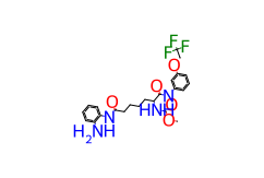 COC(=O)NC(CCCCC(=O)Nc1ccccc1N)C(=O)Nc1cccc(OCC(F)(F)F)c1